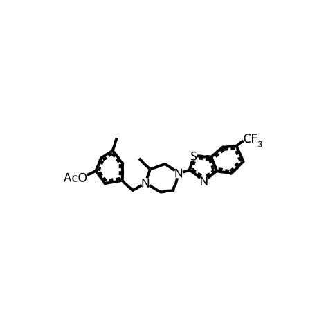 CC(=O)Oc1cc(C)cc(CN2CCN(c3nc4ccc(C(F)(F)F)cc4s3)CC2C)c1